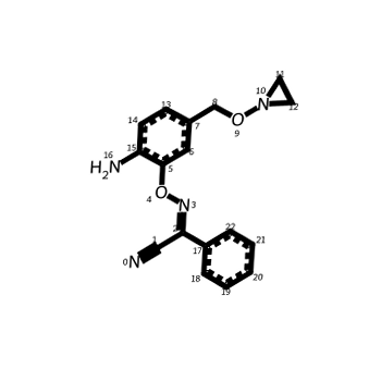 N#C/C(=N\Oc1cc(CON2CC2)ccc1N)c1ccccc1